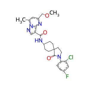 COCc1cc(C)n2ncc(C(=O)NC3CCC4(CC3)CCN(c3ccc(F)cc3Cl)C4=O)c2n1